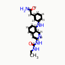 CCNC(=O)Nc1cc2cccc(Nc3cccc(CC(N)=O)c3)c2cn1